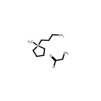 CCC(=O)[O-].CCCC[N+]1(C)CCCC1